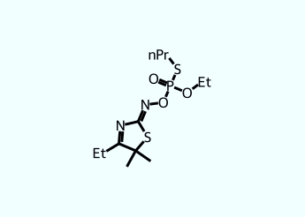 CCCSP(=O)(OCC)ON=C1N=C(CC)C(C)(C)S1